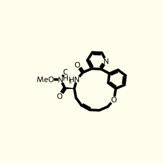 CON(C)C(=O)[C@@H]1C/C=C\CCOc2cccc(c2)-c2ncccc2C(=O)N1